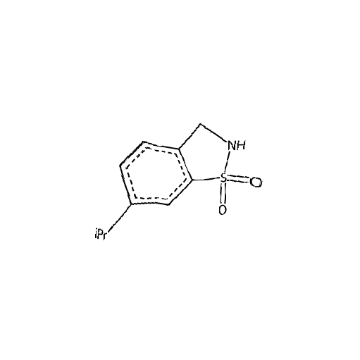 CC(C)c1ccc2c(c1)S(=O)(=O)NC2